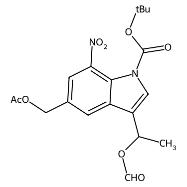 CC(=O)OCc1cc([N+](=O)[O-])c2c(c1)c(C(C)OC=O)cn2C(=O)OC(C)(C)C